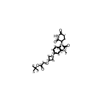 Cn1c(=O)n(C2CCC(=O)NC2=O)c2ccc(N3CC(OCC(=O)OC(C)(C)C)C3)cc21